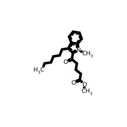 CCCCCCc1c(C(=O)CCCC(=O)OC)n(C)c2ccccc12